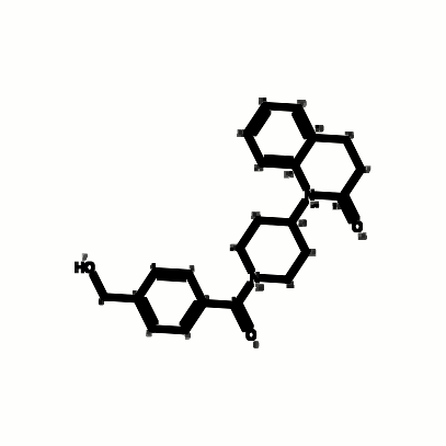 O=C(c1ccc(CO)cc1)N1CCC(N2C(=O)CCc3ccccc32)CC1